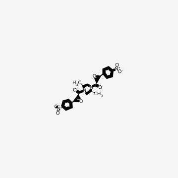 C[C@@H]1CN(C(=O)[C@@H]2O[C@H]2c2ccc([N+](=O)[O-])cc2)[C@H](C)CN1C(=O)[C@@H]1O[C@H]1c1ccc([N+](=O)[O-])cc1